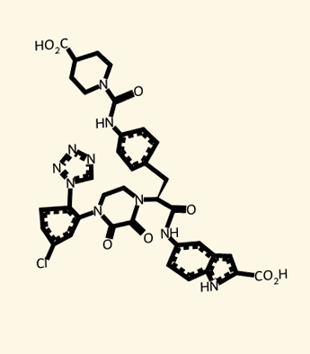 O=C(O)c1cc2cc(NC(=O)[C@H](Cc3ccc(NC(=O)N4CCC(C(=O)O)CC4)cc3)N3CCN(c4cc(Cl)ccc4-n4cnnn4)C(=O)C3=O)ccc2[nH]1